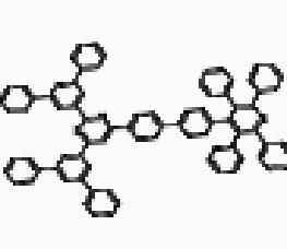 c1ccc(-c2cc(-c3ccccc3)cc(-c3cc(-c4ccc(-c5ccc(-c6c(-c7ccccc7)c(-c7ccccc7)nc(-c7ccccc7)c6-c6ccccc6)cc5)cc4)nc(-c4cc(-c5ccccc5)cc(-c5ccccc5)c4)n3)c2)cc1